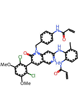 C=CC(=O)Nc1ccc(Cn2c(=O)c(-c3c(Cl)c(OC)cc(OC)c3Cl)cc3cnc(Nc4c(C)cccc4NC(=O)C=C)cc32)cc1